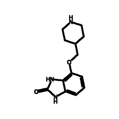 O=c1[nH]c2cccc(OCC3CCNCC3)c2[nH]1